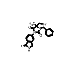 CC(C)CC1(C)C(=O)N(c2ccc3c(c2)CNC3=O)C(=O)N1Cc1ccccc1